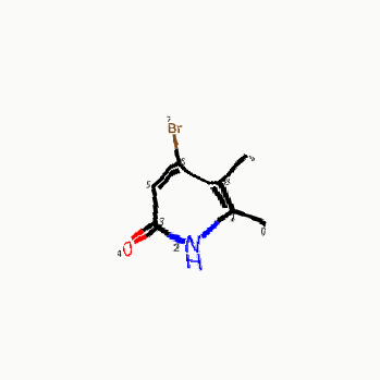 Cc1[nH]c(=O)cc(Br)c1C